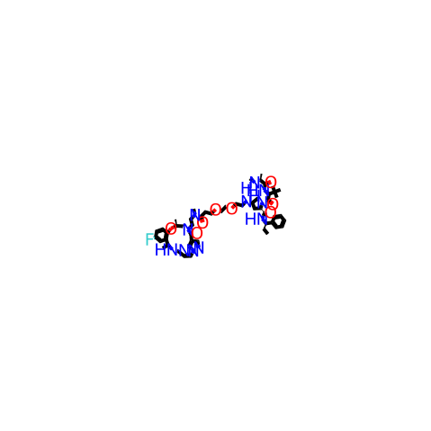 CC[C@@H](NC(=O)[C@@H]1C[C@H](NCCOCCOCCC(=O)N(C)CCN2C[C@H](C)Oc3ccc(F)cc3C(C)Nc3ccn4ncc(c4n3)C2=O)CN1C(=O)C(NC(=O)[C@H](C)NC)C(C)(C)C)c1ccccc1